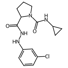 O=C(NNc1cccc(Cl)c1)C1CCCN1C(=O)NC1CC1